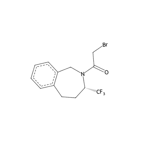 O=C(CBr)N1Cc2ccccc2CC[C@H]1C(F)(F)F